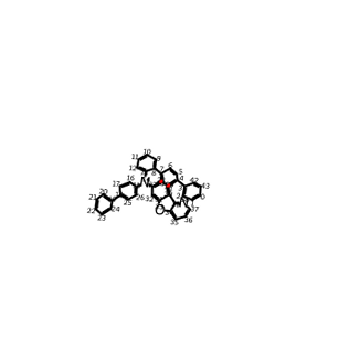 c1ccc(-c2ccc(-c3ccccc3N(c3ccc(-c4ccccc4)cc3)c3ccc4c(c3)oc3cccnc34)cc2)cc1